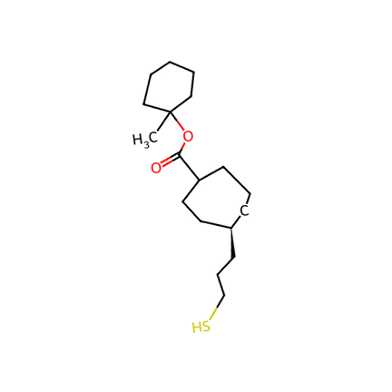 CC1(OC(=O)C2CCC[C@@H](CCCS)CC2)CCCCC1